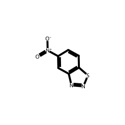 O=[N+]([O-])c1ccc2snnc2c1